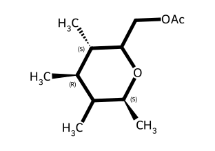 CC(=O)OCC1O[C@@H](C)C(C)[C@@H](C)[C@@H]1C